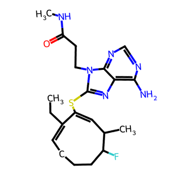 CCC1=C/CCCC(F)C(C)/C=C\1Sc1nc2c(N)ncnc2n1CCC(=O)NC